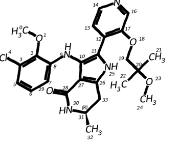 COc1c(Cl)cccc1Nc1c(-c2ccncc2OCC(C)(C)OC)[nH]c2c1C(=O)N[C@H](C)C2